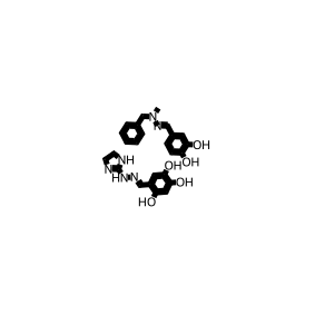 CN(Cc1ccccc1)N=Cc1ccc(O)c(O)c1.Oc1cc(O)c(C=NNC2=NCCN2)cc1O